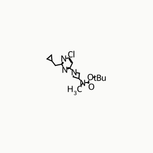 CN(C(=O)OC(C)(C)C)C1CN(c2cc(Cl)nc(CC3CC3)n2)C1